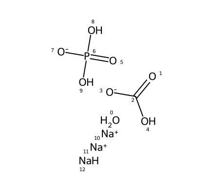 O.O=C([O-])O.O=P([O-])(O)O.[Na+].[Na+].[NaH]